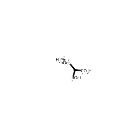 CCCCCCCCC(CCCCCCCC)C(=O)O.[PbH2]